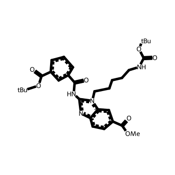 COC(=O)c1ccc2nc(NC(=O)c3cccc(C(=O)OC(C)(C)C)c3)n(CCCCCNC(=O)OC(C)(C)C)c2c1